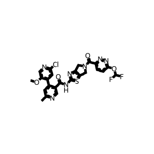 COc1cnc(Cl)cc1-c1cc(C)ncc1C(=O)Nc1nc2c(s1)CN(C(=O)c1ccc(OC(F)F)nn1)C2